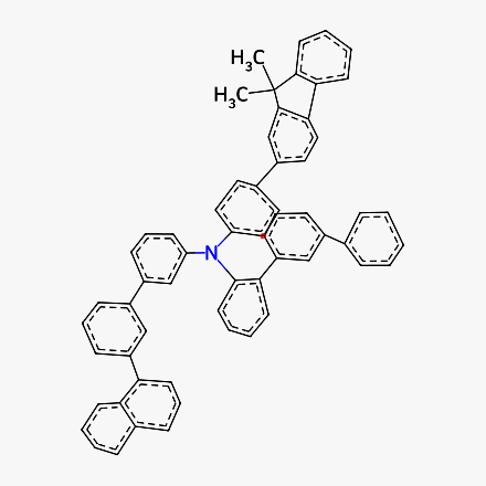 CC1(C)c2ccccc2-c2ccc(-c3ccc(N(c4cccc(-c5cccc(-c6cccc7ccccc67)c5)c4)c4ccccc4-c4cccc(-c5ccccc5)c4)cc3)cc21